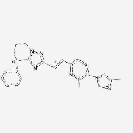 Cc1cn(-c2ccc(/C=C/c3nc4n(n3)CCC[C@H]4c3ccccc3)nc2C)cn1